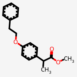 COC(=O)C(C)c1ccc(OCCc2ccccc2)cc1